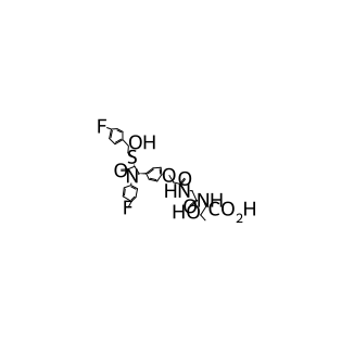 CC(O)[C@H](NC(=O)CNC(=O)COc1ccc([C@@H]2[C@@H](SCC(O)c3ccc(F)cc3)C(=O)N2c2ccc(F)cc2)cc1)C(=O)O